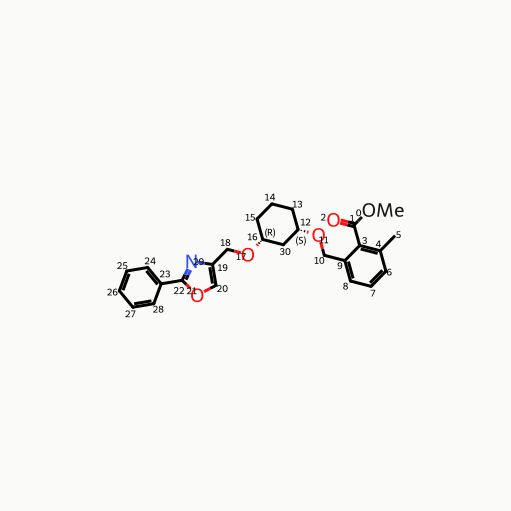 COC(=O)c1c(C)cccc1CO[C@H]1CCC[C@@H](OCc2coc(-c3ccccc3)n2)C1